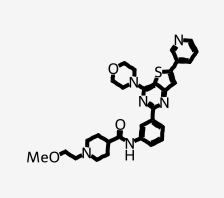 COCCN1CCC(C(=O)Nc2cccc(-c3nc(N4CCOCC4)c4sc(-c5cccnc5)cc4n3)c2)CC1